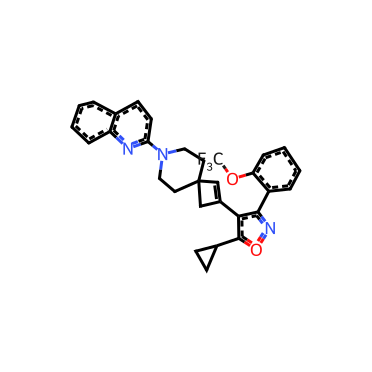 FC(F)(F)Oc1ccccc1-c1noc(C2CC2)c1C1=CC2(CCN(c3ccc4ccccc4n3)CC2)C1